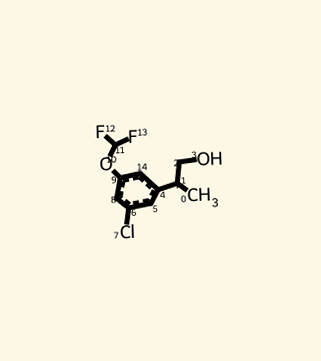 C[C](CO)c1cc(Cl)cc(OC(F)F)c1